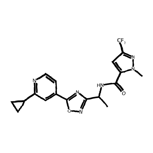 CC(NC(=O)c1cc(C(F)(F)F)nn1C)c1noc(-c2ccnc(C3CC3)c2)n1